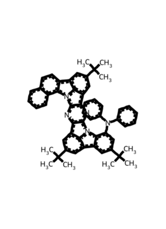 CC(C)(C)c1cc(N(c2ccccc2)c2ccccc2)c2c(c1)c1cc(C(C)(C)C)cc3c4nc5c(nc4n2c13)c1cc(C(C)(C)C)cc2c3ccc4ccccc4c3n5c21